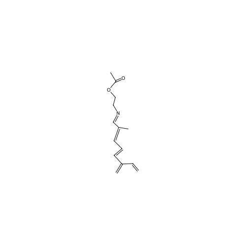 C=CC(=C)/C=C/C=C(C)/C=N/CCOC(C)=O